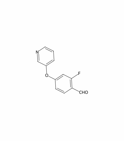 O=Cc1ccc(Oc2cccnc2)cc1F